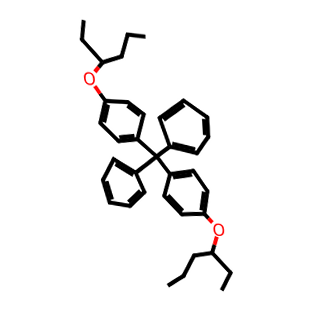 CCCC(CC)Oc1ccc(C(c2ccccc2)(c2ccccc2)c2ccc(OC(CC)CCC)cc2)cc1